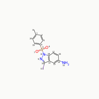 Cc1ccc(S(=O)(=O)n2nc(I)c3cc(N)ccc32)cc1